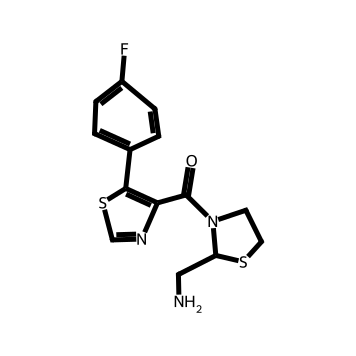 NCC1SCCN1C(=O)c1ncsc1-c1ccc(F)cc1